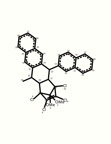 COC1(OC)C2(Cl)C(Cl)=C(Cl)C1(Cl)C1C(c3ccc4ccccc4c3)c3cc4ccccc4cc3C(C)C12